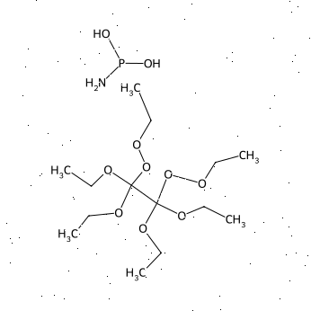 CCOOC(OCC)(OCC)C(OCC)(OCC)OOCC.NP(O)O